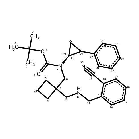 CC(C)(C)OC(=O)N(CC1(CNCc2ccccc2C#N)CCC1)[C@H]1CC1c1ccccc1